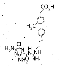 Cc1cc(CCC(=O)O)ccc1-c1ccc(CCCCNC(=N)NC(=O)c2nc(Cl)c(N)nc2N)cc1